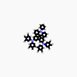 Cc1cc(N(c2ccc(C3(c4ccc(N(c5cc(C)c(C)c(C)c5)c5cc(C)c(C)c(C)c5)cc4)c4ccccc4N(c4ccccc4)c4ccccc43)cc2)c2cc(C)c(C)c(C)c2)cc(C)c1C